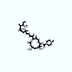 CCC(OC)C(C)C1OC1CC(C)(O)/C=C/C=C(\C)C1OC(=O)CC(O)CCC(C)(O)C(OC(=O)N2CCN(C)CC2)/C=C/C1C